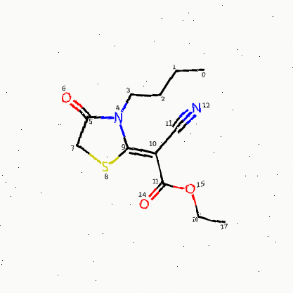 CCCCN1C(=O)CSC1=C(C#N)C(=O)OCC